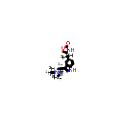 [2H]C([2H])(CN(C([2H])([2H])[2H])C([2H])([2H])[2H])c1c[nH]c2ccc(C([2H])([2H])[C@H]3COC(=O)N3)cc12